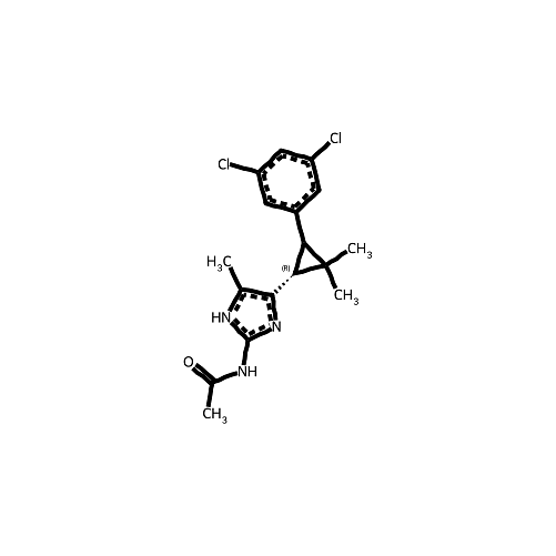 CC(=O)Nc1nc([C@@H]2C(c3cc(Cl)cc(Cl)c3)C2(C)C)c(C)[nH]1